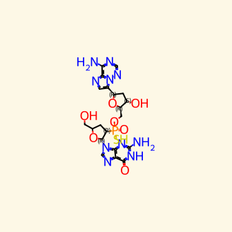 Nc1nc2c(ncn2[C@@H]2OC(CO)C[C@H]2P(=O)(S)OC[C@H]2O[C@@H](c3cnc4c(N)ncnn34)C[C@@H]2O)c(=O)[nH]1